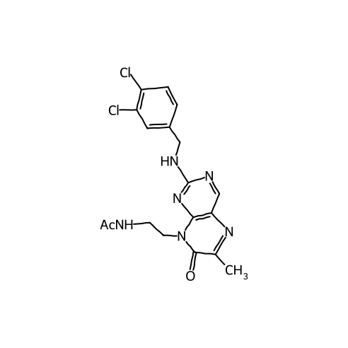 CC(=O)NCCn1c(=O)c(C)nc2cnc(NCc3ccc(Cl)c(Cl)c3)nc21